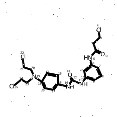 O=C(CCCl)Nc1cccc(NC(=O)Nc2ccc(N(CCCl)CCCl)cc2)c1